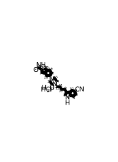 Cl.N#Cc1ccc2[nH]cc(CCCCN3CCN(c4ccc5oc(C(N)=O)cc5c4)CC3)c2c1.O